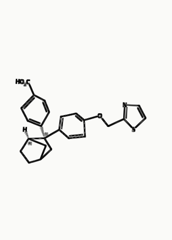 O=C(O)c1ccc([C@]2(c3ccc(OCc4nccs4)cc3)CC3CC[C@@H]2C3)cc1